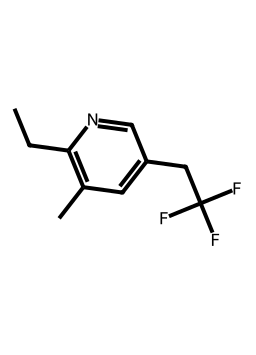 CCc1ncc(CC(F)(F)F)cc1C